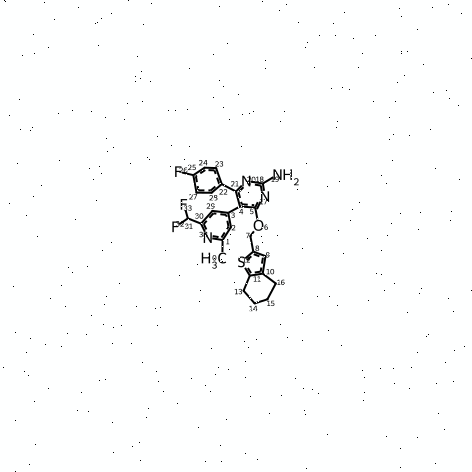 Cc1cc(-c2c(OCc3cc4c(s3)CCCC4)nc(N)nc2-c2ccc(F)cc2)cc(C(F)F)n1